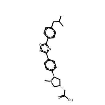 CC(C)Cc1ccc(-c2nc(-c3ccc([C@H]4C[C@H](CC(=O)O)CN4C)cc3)no2)cc1